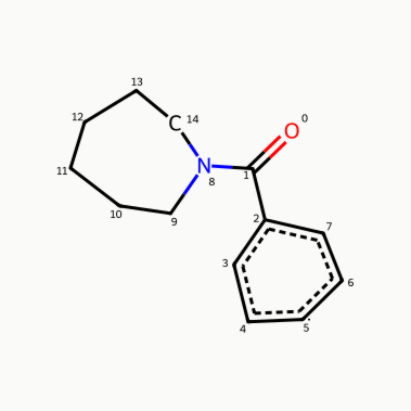 O=C(c1cc[c]cc1)N1CCCCCC1